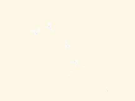 N#Cc1cccc(S(=O)(=O)N2CCN(C(CC3CCCCC3)C(=O)Nc3nccs3)C(=O)C2)c1